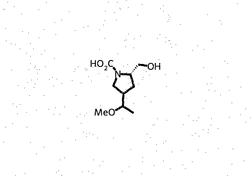 COC(C)C1C[C@@H](CO)N(C(=O)O)C1